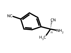 C[C@@](N)(C#N)c1ccc(C#N)cc1